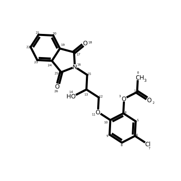 CC(=O)Oc1cc(Cl)ccc1OCC(O)CN1C(=O)c2ccccc2C1=O